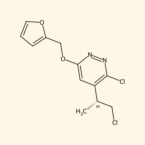 C[C@@H](CCl)c1cc(OCc2ccco2)nnc1Cl